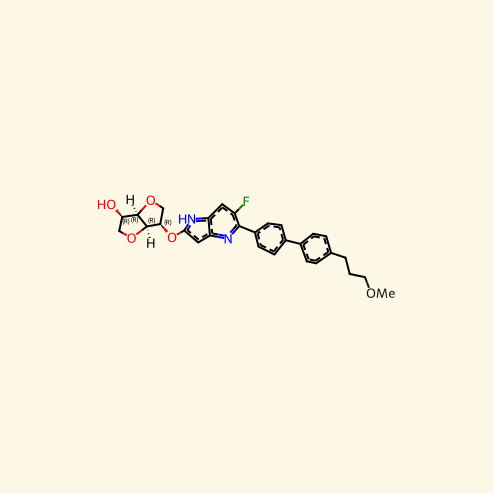 COCCCc1ccc(-c2ccc(-c3nc4cc(O[C@@H]5CO[C@H]6[C@@H]5OC[C@H]6O)[nH]c4cc3F)cc2)cc1